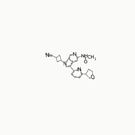 CC(=O)Nc1cc2c(-c3cccc(C4CCOC4)n3)cn(C3CC(C#N)C3)c2cn1